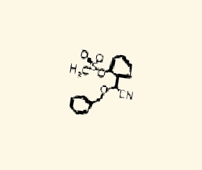 CS(=O)(=O)Oc1ccccc1C(C#N)OCc1ccccc1